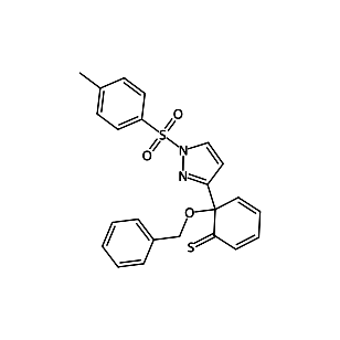 Cc1ccc(S(=O)(=O)n2ccc(C3(OCc4ccccc4)C=CC=CC3=S)n2)cc1